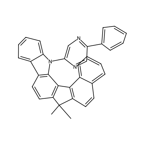 CC1(C)c2ccc3ccccc3c2-c2c1ccc1c3ccccc3n(-c3cnc(-c4ccccc4)cn3)c21